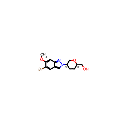 COc1cc2nn([C@@H]3CC[C@H](CO)OC3)cc2cc1Br